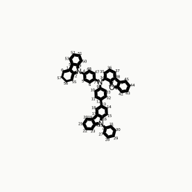 C1=c2c(n(-c3ccc(N(c4ccc(-c5ccc6c(c5)c5ccccc5n6-c5ccccc5)cc4)c4cccc5c4oc4ccccc45)cc3)c3ccccc23)=CCC1